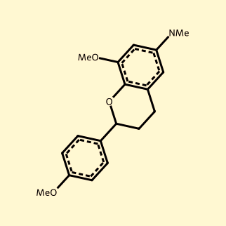 CNc1cc2c(c(OC)c1)OC(c1ccc(OC)cc1)CC2